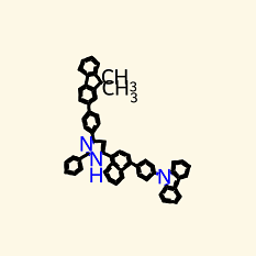 CC1(C)c2ccccc2-c2ccc(-c3ccc(C4=NC(c5ccccc5)NC(c5ccc(-c6ccc(-n7c8ccccc8c8ccccc87)cc6)c6ccccc56)=C4)cc3)cc21